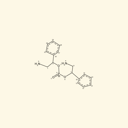 NCC(O[PH](=O)OC(CN)c1ccccc1)c1ccccc1